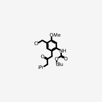 COc1cc(NC(=O)OC(C)(C)C)c(CC(=O)CC(C)C)cc1CCl